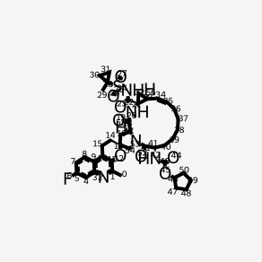 Cc1nc2cc(F)ccc2c2c1O[C@]1(CC2)C[C@H]2C(=O)N[C@]3(C(=O)NS(=O)(=O)C4(C)CC4)C[C@H]3/C=C\CCCCC[C@H](NC(=O)OC3CCCC3)C(=O)N2C1